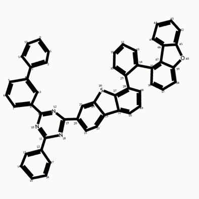 c1ccc(-c2cccc(-c3nc(-c4ccccc4)nc(-c4ccc5c(c4)sc4c(-c6ccccc6-c6cccc7oc8ccccc8c67)cccc45)n3)c2)cc1